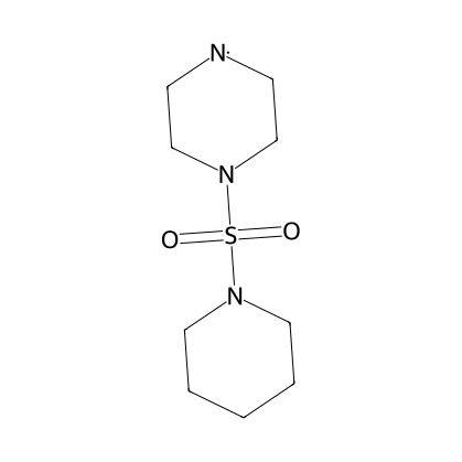 O=S(=O)(N1CCCCC1)N1CC[N]CC1